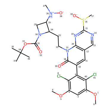 COc1cc(OC)c(Cl)c(-c2cc3cnc([S+](C)[O-])nc3n(CCC3C([NH+](C)[O-])CN3C(=O)OC(C)(C)C)c2=O)c1Cl